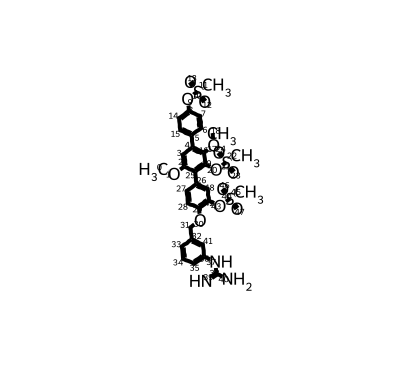 COc1cc(-c2ccc(OS(C)(=O)=O)cc2)c(OC)c(OS(C)(=O)=O)c1-c1ccc(OCc2cccc(NC(=N)N)c2)c(OS(C)(=O)=O)c1